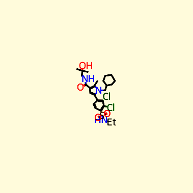 CCNS(=O)(=O)c1ccc(-c2cc(C(=O)NCC(C)(C)O)c(C)n2CC2CCCCC2)c(Cl)c1Cl